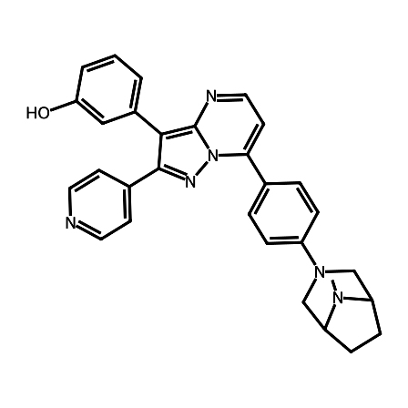 CN1C2CCC1CN(c1ccc(-c3ccnc4c(-c5cccc(O)c5)c(-c5ccncc5)nn34)cc1)C2